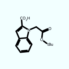 CC(C)(C)OC(=O)Cn1c(C(=O)O)cc2ccccc21